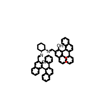 Oc1c(/C=N/[C@@H]2CCCC[C@H]2/N=C/c2cc3ccccc3c(-c3c(-c4ccccc4)ccc4ccccc34)c2O)cc2ccccc2c1-c1c(-c2ccccc2)ccc2ccccc12